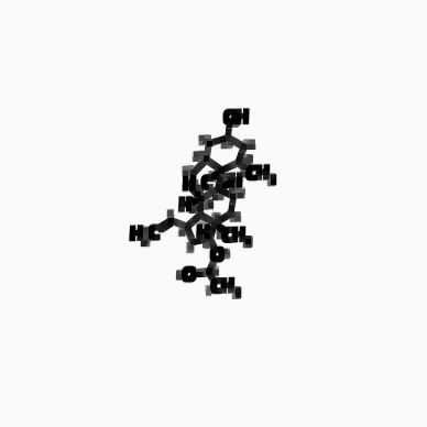 C=CC1CC(OC(C)=O)[C@@]2(C)CC[C@@H]3[C@@H](CCC4CC(O)CC(C)[C@@]43C)[C@H]12